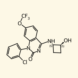 O=c1nc(N[C@H]2CC[C@@H]2O)c2ccc(OC(F)(F)F)cc2n1-c1ccccc1Cl